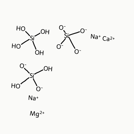 O[Si](O)(O)O.[Ca+2].[Mg+2].[Na+].[Na+].[O-][Si]([O-])(O)O.[O-][Si]([O-])([O-])[O-]